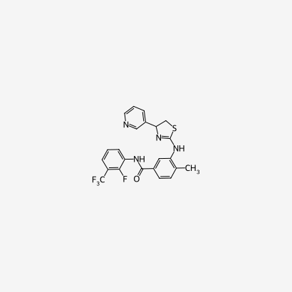 Cc1ccc(C(=O)Nc2cccc(C(F)(F)F)c2F)cc1NC1=NC(c2cccnc2)CS1